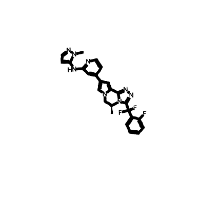 C[C@H]1Cn2cc(-c3ccnc(Nc4ccnn4C)c3)cc2-c2nnc(C(F)(F)c3ccccc3F)n21